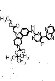 CCOC(=O)Cn1c2c(c3cc(Nc4ncc(F)c(-c5cnc6cccnn56)n4)ccc31)CN(C(=O)OC(C)(C)C)CC2